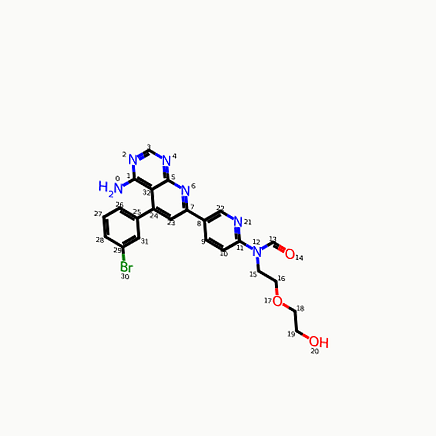 Nc1ncnc2nc(-c3ccc(N(C=O)CCOCCO)nc3)cc(-c3cccc(Br)c3)c12